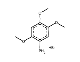 Br.COc1cc(OC)c(OC)cc1P